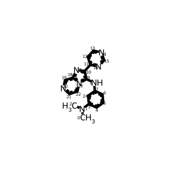 CN(C)c1cccc(Nc2c(-c3ccncn3)nc3cnccn23)c1